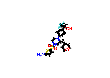 C[C@@](O)(c1ccc(N2CCN(S(=O)(=O)c3ccc(N)s3)C[C@@H]2CC2CCOCC2)cc1)C(F)(F)F